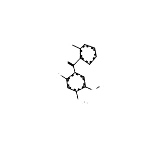 COc1cc(N)c(C(=O)c2ccccc2Cl)cc1OC(C)C